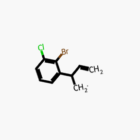 [CH2]C(C=C)c1cccc(Cl)c1Br